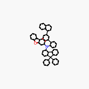 c1ccc(C2(c3ccccc3)c3ccccc3-c3c(N(c4ccc5c(c4)oc4ccccc45)c4ccccc4-c4cccc(-c5cccc6ccccc56)c4)cccc32)cc1